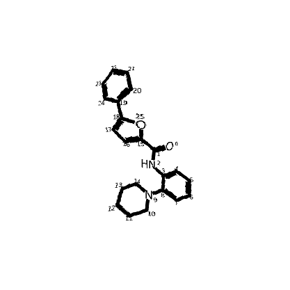 O=C(Nc1ccccc1N1CCCCC1)c1ccc(-c2ccccc2)o1